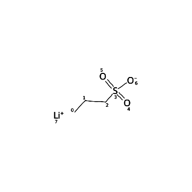 CCCS(=O)(=O)[O-].[Li+]